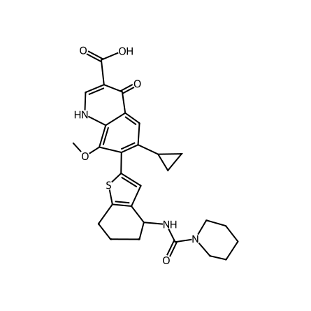 COc1c(-c2cc3c(s2)CCCC3NC(=O)N2CCCCC2)c(C2CC2)cc2c(=O)c(C(=O)O)c[nH]c12